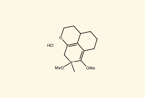 COC1=C2CCCC3CCOC(=C23)C[N+]1(C)OC.Cl